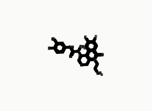 CN(C(=O)Nc1ccc(F)c(Cl)c1)[C@@H]1COCc2c1c1cc(F)c(F)cc1c(=O)n2CCN